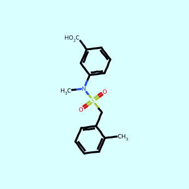 Cc1ccccc1CS(=O)(=O)N(C)c1cccc(C(=O)O)c1